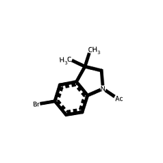 CC(=O)N1CC(C)(C)c2cc(Br)ccc21